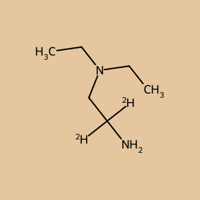 [2H]C([2H])(N)CN(CC)CC